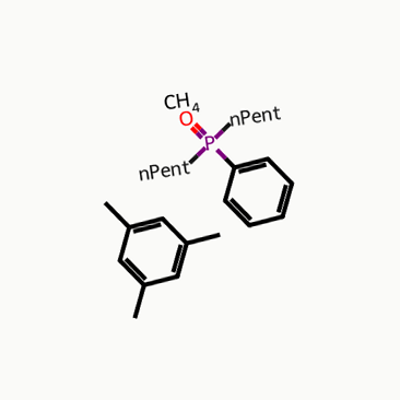 C.CCCCCP(=O)(CCCCC)c1ccccc1.Cc1cc(C)cc(C)c1